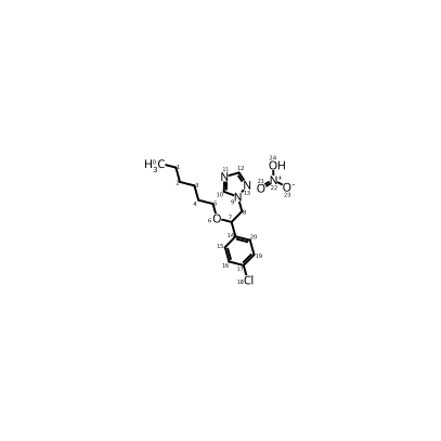 CCCCCCOC(Cn1cncn1)c1ccc(Cl)cc1.O=[N+]([O-])O